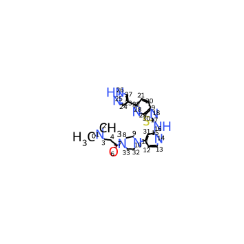 CN(C)CCC(=O)N1CCN(c2ccnc(Nc3nc4ccc(-c5cn[nH]c5)nc4s3)c2)CC1